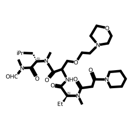 CC[C@@H](C(=O)NC(COCCN1CCOCC1)C(=O)N(C)[C@@H](CC(C)C)C(=O)N(C)C=O)N(C)C(=O)CC(=O)N1CCCCC1